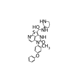 Cc1cc(Oc2ccccc2)ccc1N1C(=O)Nc2c(C(O)N[C@@H]3CCCNC3)sc3nccc1c23